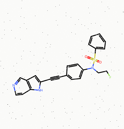 O=S(=O)(c1ccccc1)N(CCF)c1ccc(C#Cc2cc3cnccc3[nH]2)cc1